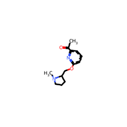 CC(=O)c1cccc(OCC2CCCN2C)n1